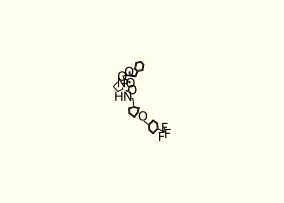 O=C(NCc1cccc(OCc2ccc(C(F)(F)F)cc2)c1)[C@@H]1CCCN1S(=O)(=O)c1cc2ccccc2o1